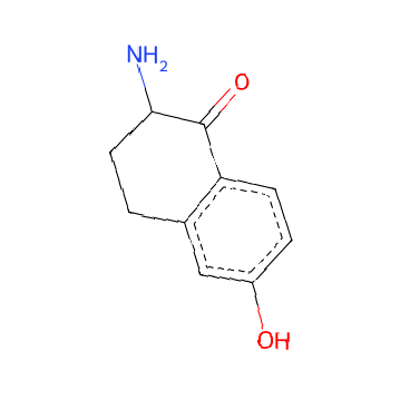 NC1CCc2cc(O)ccc2C1=O